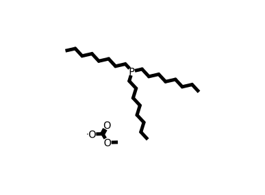 CCCCCCCCP(CCCCCCCC)CCCCCCCC.COC([O])=O